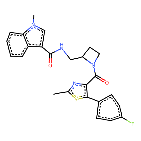 Cc1nc(C(=O)N2CCC2CNC(=O)c2cn(C)c3ccccc23)c(-c2ccc(F)cc2)s1